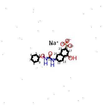 O=C(NOc1ccccc1)Nc1ccc2c(O)cc(S(=O)(=O)[O-])cc2c1.[Na+]